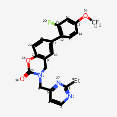 CCc1nccc(CN2Cc3cc(-c4ccc(OC(F)(F)F)cc4F)ccc3OC2=O)n1